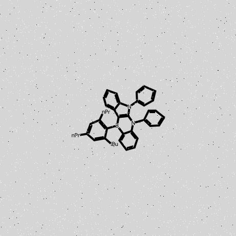 CCCc1cc(CCC)c(B2c3ccccc3N(c3ccccc3)c3c2c2ccccc2n3-c2ccccc2)c(C(C)CC)c1